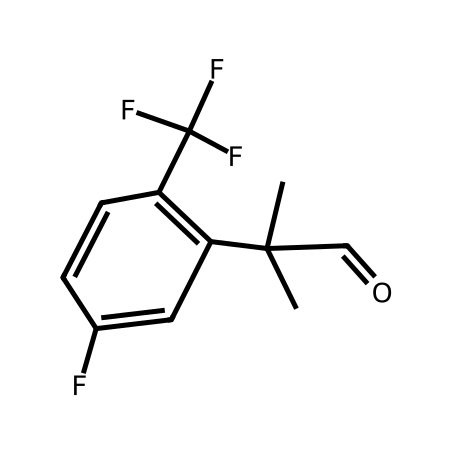 CC(C)(C=O)c1cc(F)ccc1C(F)(F)F